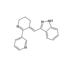 C(=C1CCCN=C1c1cccnc1)c1n[nH]c2ccccc12